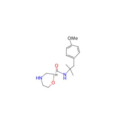 COc1ccc(CC(C)(C)NC(=O)[C@H]2CNCCO2)cc1